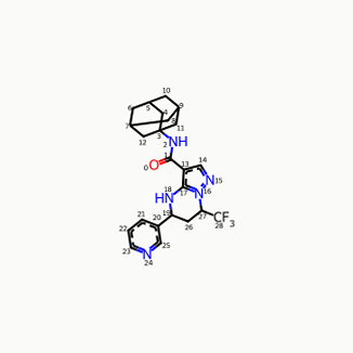 O=C(NC12CC3CC(CC(C3)C1)C2)c1cnn2c1NC(c1cccnc1)CC2C(F)(F)F